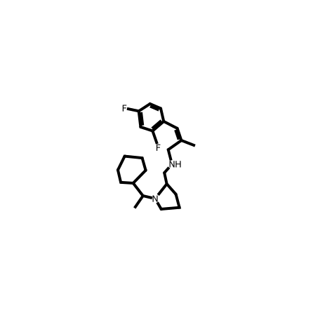 CC(=Cc1ccc(F)cc1F)CNCC1CCCN1C(C)C1CCCCC1